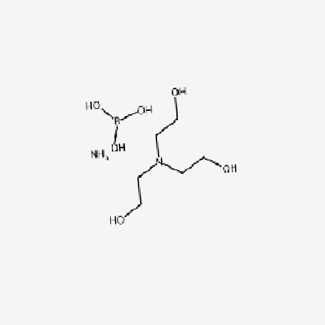 N.OB(O)O.OCCN(CCO)CCO